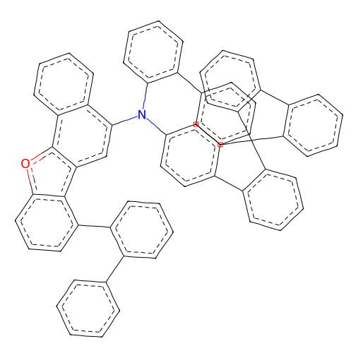 c1ccc(-c2ccccc2-c2cccc3oc4c5ccccc5c(N(c5ccc6c(c5)C5(c7ccccc7-c7ccccc75)c5ccccc5-6)c5ccccc5-c5ccccc5)cc4c23)cc1